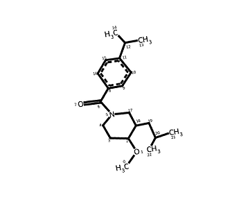 COC1CCN(C(=O)c2ccc(C(C)C)cc2)CC1CC(C)C